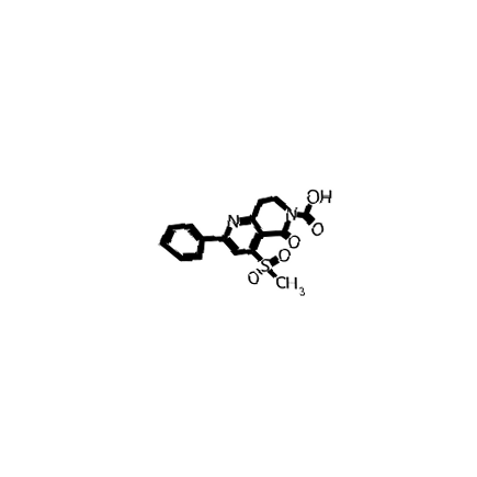 CS(=O)(=O)c1cc(-c2ccccc2)nc2c1C(=O)N(C(=O)O)CC2